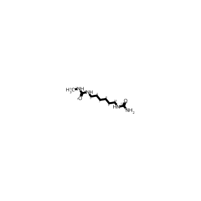 CNC(=O)NCCCCCCNC(N)=O